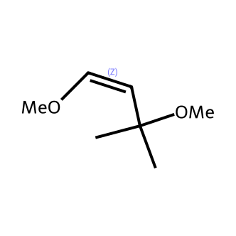 CO/C=C\C(C)(C)OC